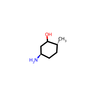 C[C@@H]1CC[C@@H](N)CC1O